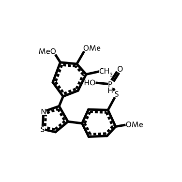 COc1ccc(-c2csnc2-c2cc(C)c(OC)c(OC)c2)cc1S[PH](=O)O